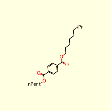 CCCCCOC(=O)c1ccc(C(=O)OCCCCCCC(C)C)cc1